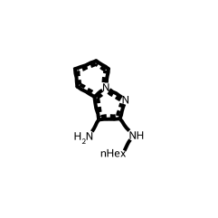 CCCCCCNc1nn2ccccc2c1N